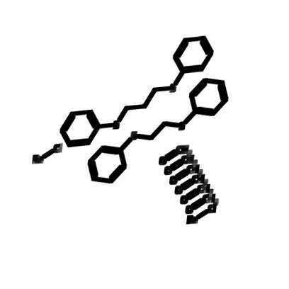 C=O.C=O.C=O.C=O.C=O.C=O.[Cl][Re].[Cl][Re].c1ccc(SCCCSc2ccccc2)cc1.c1ccc(SCCSc2ccccc2)cc1